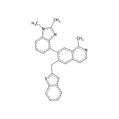 Cc1nccc2cc(Cc3cc4ccccc4s3)c(-c3cccc4c3nc(C)n4C)cc12